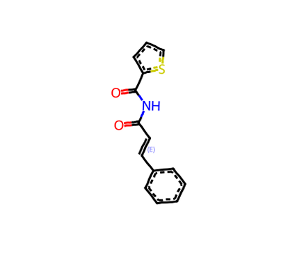 O=C(/C=C/c1ccccc1)NC(=O)c1cccs1